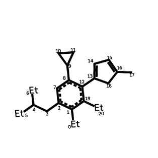 CCc1c(CC(CC)CC)cc(C2CC2)c(C2=CC=C(C)C2)c1CC